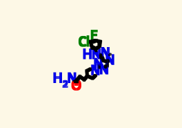 NC(=O)CCC1CCN(c2ncc3ncnc(Nc4ccc(F)c(Cl)c4)c3n2)CC1